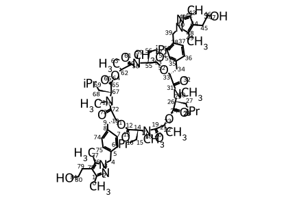 Cc1nn(Cc2ccc(C[C@H]3OC(=O)[C@H](CC(C)C)N(C)C(=O)[C@@H](C)OC(=O)[C@H](CC(C)C)N(C)C(=O)[C@@H](Cc4ccc(Cn5nc(C)c(CCO)c5C)cc4)OC(=O)[C@H](CC(C)C)N(C)C(=O)[C@@H](C)OC(=O)[C@H](CC(C)C)N(C)C3=O)cc2)c(C)c1CCO